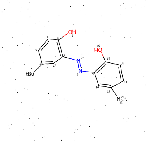 CC(C)(C)c1ccc(O)c(N=Nc2cc([N+](=O)[O-])ccc2O)c1